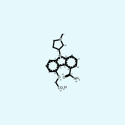 CN1CCC(n2c3cccc(OCC(=O)O)c3c3c(C(N)=O)cccc32)C1